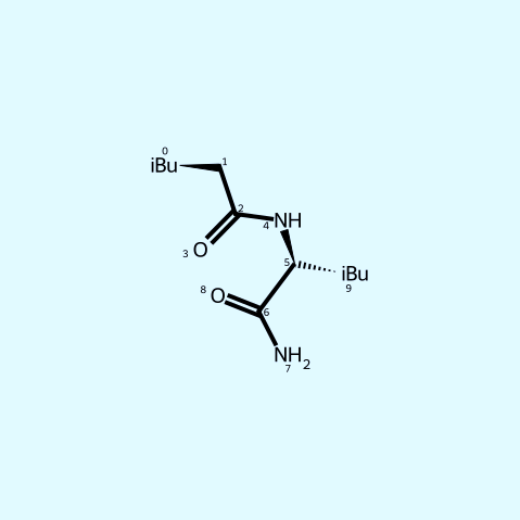 CC[C@H](C)CC(=O)N[C@H](C(N)=O)[C@@H](C)CC